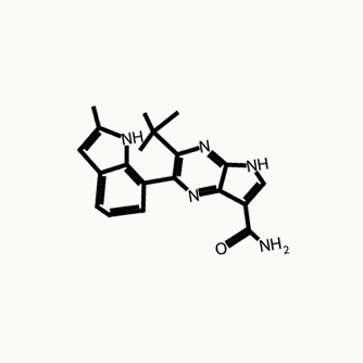 Cc1cc2cccc(-c3nc4c(C(N)=O)c[nH]c4nc3C(C)(C)C)c2[nH]1